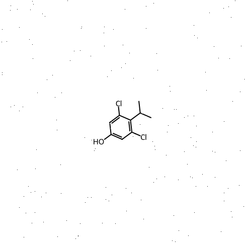 CC(C)c1c(Cl)cc(O)cc1Cl